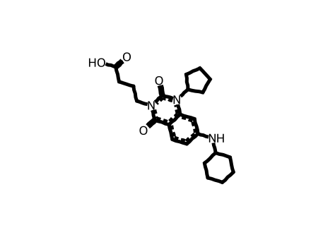 O=C(O)CCCn1c(=O)c2ccc(NC3CCCCC3)cc2n(C2CCCC2)c1=O